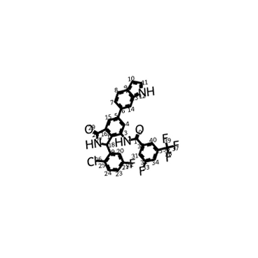 O=C(Nc1cc(-c2ccc3cc[nH]c3c2)cc2c1C(c1cc(F)ccc1Cl)NC2=O)c1cc(F)cc(C(F)(F)F)c1